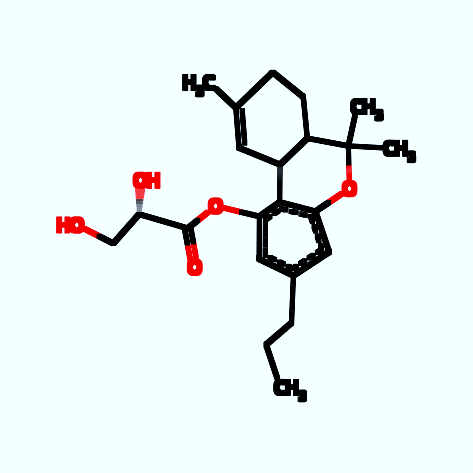 CCCc1cc(OC(=O)[C@@H](O)CO)c2c(c1)OC(C)(C)C1CCC(C)=CC21